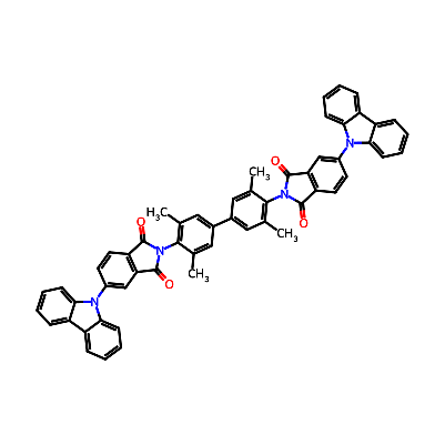 Cc1cc(-c2cc(C)c(N3C(=O)c4ccc(-n5c6ccccc6c6ccccc65)cc4C3=O)c(C)c2)cc(C)c1N1C(=O)c2ccc(-n3c4ccccc4c4ccccc43)cc2C1=O